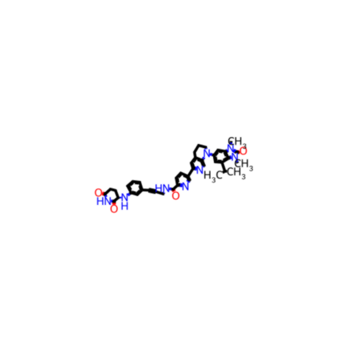 CC(C)c1cc(N2CCCc3cc(-c4ccc(C(=O)NCC#Cc5cccc(N[C@@H]6CCC(=O)NC6=O)c5)nc4)ncc32)cc2c1n(C)c(=O)n2C